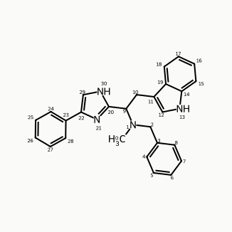 CN(Cc1ccccc1)C(Cc1c[nH]c2ccccc12)c1nc(-c2ccccc2)c[nH]1